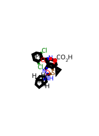 CC(C)Oc1cc(C(=O)O)cc2sc(N[C@H]3[C@@H]4CC[C@H]3C[C@@H](OCc3c(-c5c(Cl)cccc5Cl)noc3C3CC3)C4)nc12